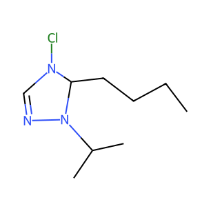 CCCCC1N(Cl)C=NN1C(C)C